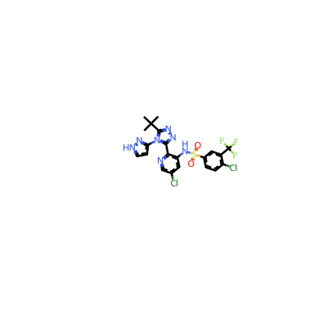 CC(C)(C)c1nnc(-c2ncc(Cl)cc2NS(=O)(=O)c2ccc(Cl)c(C(F)(F)F)c2)n1-c1cc[nH]n1